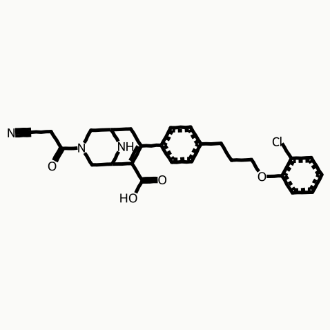 N#CCC(=O)N1CC2CC(c3ccc(CCCOc4ccccc4Cl)cc3)=C(C(=O)O)C(C1)N2